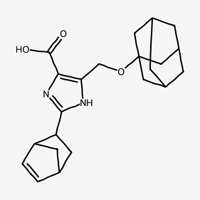 O=C(O)c1nc(C2CC3C=CC2C3)[nH]c1COC12CC3CC(CC(C3)C1)C2